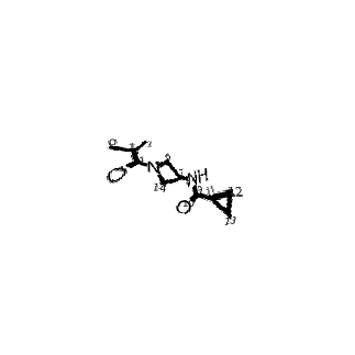 CC(C)C(=O)N1CC(NC(=O)C2CC2)C1